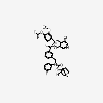 CCOc1cc([C@H](Cc2c(Cl)cncc2Cl)OC(=O)c2cccc(CN(C(=O)O[C@H]3CN4CCC3CC4)c3cccc(F)c3)c2)ccc1OC(F)F